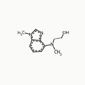 CN(CCO)c1cccc2c1ncn2C